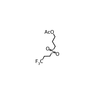 CC(=O)OCCCS(=O)(=O)CCC(F)(F)F